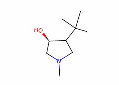 CN1CC(C(C)(C)C)[C@H](O)C1